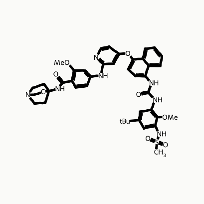 COc1cc(Nc2cc(Oc3ccc(NC(=O)Nc4cc(C(C)(C)C)cc(NS(C)(=O)=O)c4OC)c4ccccc34)ccn2)ccc1C(=O)NC12CCN(CC1)CC2